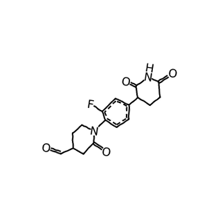 O=CC1CCN(c2ccc(C3CCC(=O)NC3=O)cc2F)C(=O)C1